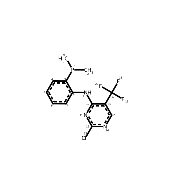 CP(C)c1ccccc1Nc1nc(Cl)ncc1C(F)(F)F